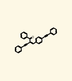 O=C(C(C#Cc1ccccc1)=Cc1ccc(C#Cc2ccccc2)cc1)c1ccccc1